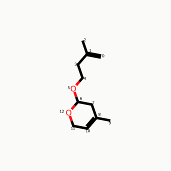 C=C(C)CCOC1CC(C)=CCO1